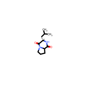 CC(C)C[C@@H]1NC(=O)C2CCCN2C1=O